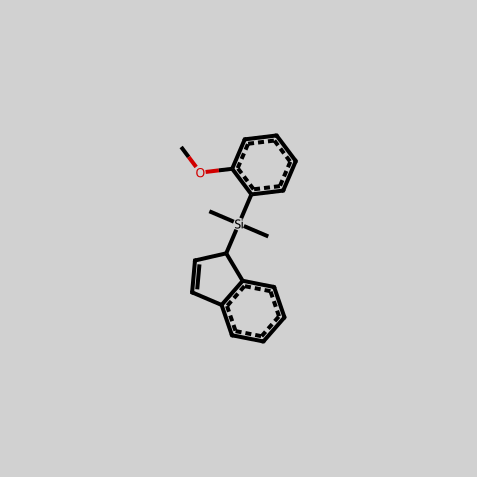 COc1ccccc1[Si](C)(C)C1C=Cc2ccccc21